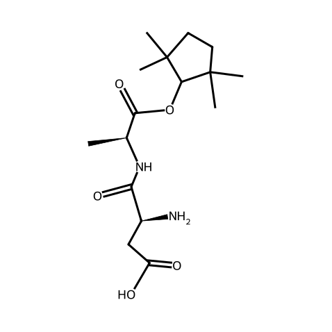 C[C@H](NC(=O)[C@@H](N)CC(=O)O)C(=O)OC1C(C)(C)CCC1(C)C